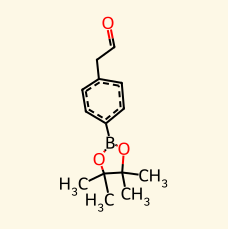 CC1(C)OB(c2ccc(CC=O)cc2)OC1(C)C